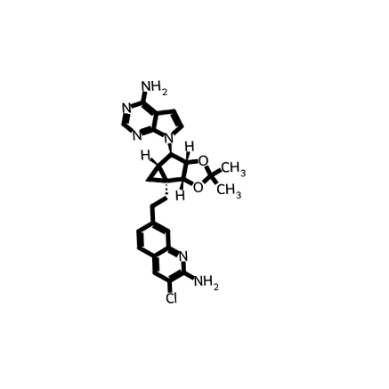 CC1(C)O[C@H]2[C@H](n3ccc4c(N)ncnc43)[C@H]3C[C@]3(CCc3ccc4cc(Cl)c(N)nc4c3)[C@H]2O1